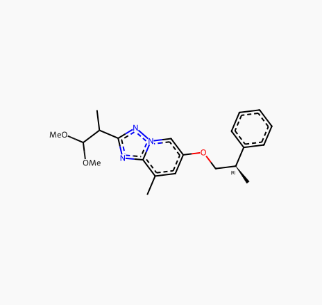 COC(OC)C(C)c1nc2c(C)cc(OC[C@H](C)c3ccccc3)cn2n1